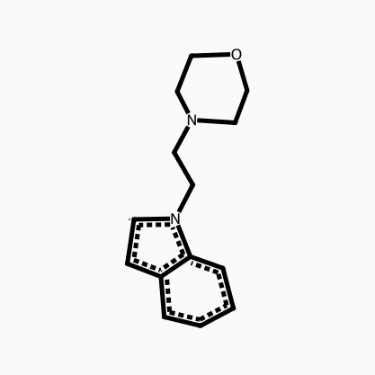 [c]1cc2ccccc2n1CCN1CCOCC1